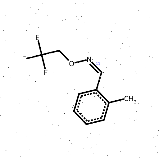 Cc1ccccc1/[C]=N\OCC(F)(F)F